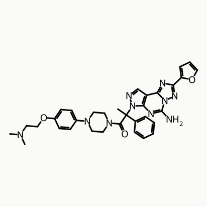 CN(C)CCOc1ccc(N2CCN(C(=O)C(C)(c3ccccc3)n3ncc4c3nc(N)n3nc(-c5ccco5)nc43)CC2)cc1